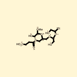 CCC(CO)OC(CO)OCC(COC(=O)CCC(=O)O)OC(CO)OC